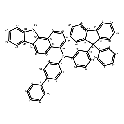 C1=C=CC(c2ccc(N(c3cccc(C4(c5ccccc5)c5ccccc5-c5ccccc54)c3)c3cccc4c3ccc3c5ccccc5sc43)cc2)=CC=1